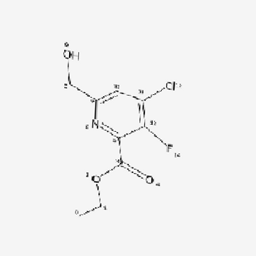 CCOC(=O)c1nc(CO)cc(Cl)c1F